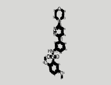 COc1ccc(OC)c(S(=O)(=O)Nc2cccc(-c3ccc(N4CCOCC4)nn3)c2)c1